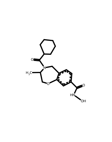 CC1COc2cc(C(=O)NO)ccc2CN1C(=O)C1CCCCC1